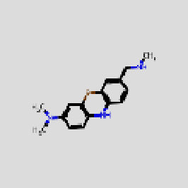 CNCc1ccc2c(c1)Sc1cc(N(C)C)ccc1N2